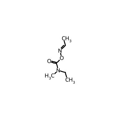 CC=NOC(=O)N(C)CC